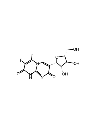 Cc1c(F)c(=O)[nH]c2nc(=O)c([C@@H]3O[C@H](CO)C(O)[C@@H]3O)cn12